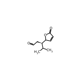 CC(C)[C@@H](CC=O)C1C=CC(=O)O1